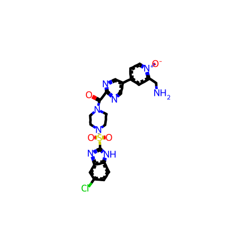 NCc1cc(-c2cnc(C(=O)N3CCN(S(=O)(=O)c4nc5cc(Cl)ccc5[nH]4)CC3)nc2)cc[n+]1[O-]